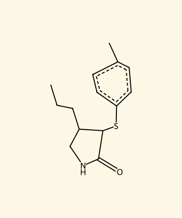 CCCC1CNC(=O)C1Sc1ccc(C)cc1